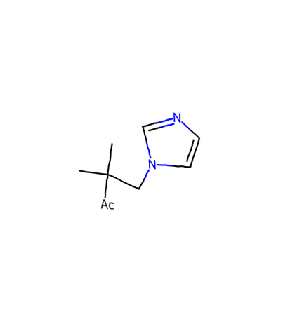 CC(=O)C(C)(C)Cn1ccnc1